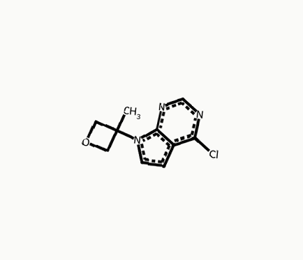 CC1(n2ccc3c(Cl)ncnc32)COC1